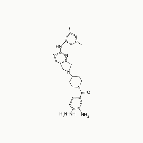 Cc1cc(C)cc(Nc2ncc3c(n2)CN(C2CCN(C(=O)c4ccc(NN)c(N)c4)CC2)C3)c1